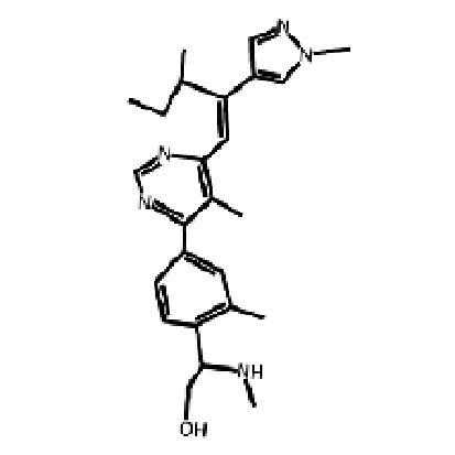 CCC(C)/C(=C\c1ncnc(-c2ccc(C(CO)NC)c(C)c2)c1C)c1cnn(C)c1